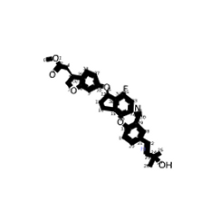 COC(=O)C[C@@H]1COc2cc(O[C@@H]3CCc4c(Oc5ccc(/C=C/C(C)(C)O)cc5C#N)ccc(F)c43)ccc21